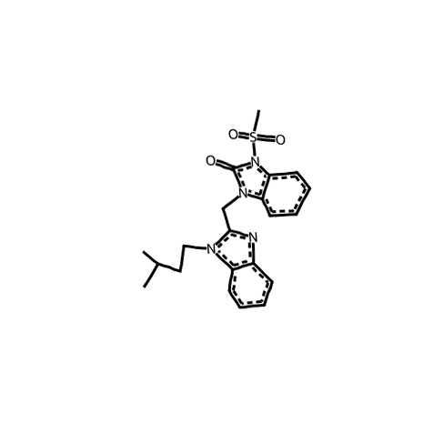 CC(C)CCn1c(Cn2c(=O)n(S(C)(=O)=O)c3ccccc32)nc2ccccc21